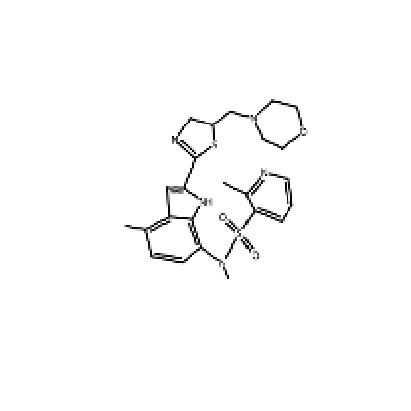 Cc1ncccc1S(=O)(=O)N(C)c1ccc(C)c2cc(C3=NCC(CN4CCOCC4)S3)[nH]c12